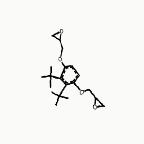 CC(C)(C)c1c(OCC2CO2)ccc(OCC2CO2)c1C(C)(C)C